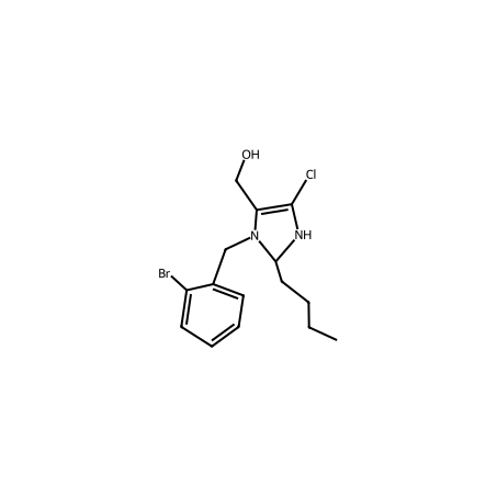 CCCCC1NC(Cl)=C(CO)N1Cc1ccccc1Br